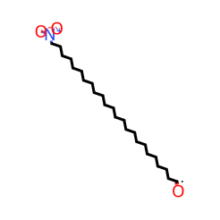 O=[C]CCCCCCCCCCCCCCCCCCCCCCC[N+](=O)[O-]